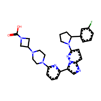 O=C(O)N1CC(N2CCN(c3cccc(-c4cnc5ccc(N6CCCC6c6cccc(F)c6)nn45)n3)CC2)C1